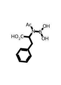 CC(=O)N(B(O)O)C(Cc1ccccc1)C(=O)O